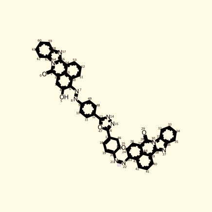 O=c1c2cc(O)c(N=Nc3ccc(-c4nnc(C5=CC=C(/N=N\c6c(O)cc7c(=O)n8c9ccccc9nc8c8cccc6c78)CC5)o4)cc3)c3cccc(c32)c2nc3ccccc3n12